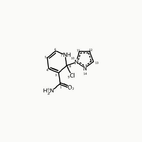 NC(=O)C1=CC=CNC1(Cl)n1cccn1